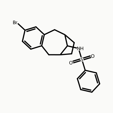 O=S(=O)(NC1C2CCC1Cc1cc(Br)ccc1C2)c1ccccc1